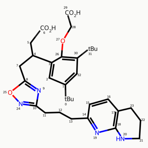 CC(C)(C)c1cc(C(CC(=O)O)Cc2nc(CCCc3ccc4c(n3)NCCC4)no2)c(OCC(=O)O)c(C(C)(C)C)c1